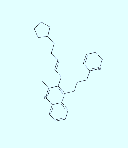 Cc1nc2ccccc2c(CCCC2=NCCC=C2)c1C/C=C/CCC1CCCC1